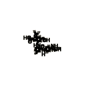 Cc1ccc(NCc2cc(CO)cc(OC(C)C)c2CCC(=O)O)c(C(=O)Nc2ccc(/C(N)=N/O)cc2)c1